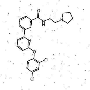 O=C(NCCN1CCCC1)c1cccc(-c2cccc(Oc3ccc(Cl)cc3Cl)n2)c1